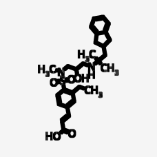 CCc1cc(C=CC(=O)O)ccc1S(=O)(=O)N(C)CC(O)CNC(C)(C)CC1Cc2ccccc2C1